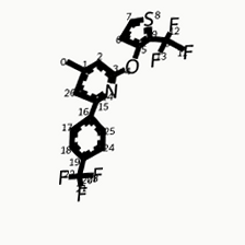 Cc1cc(Oc2ccsc2C(F)(F)F)nc(-c2ccc(C(F)(F)F)cc2)c1